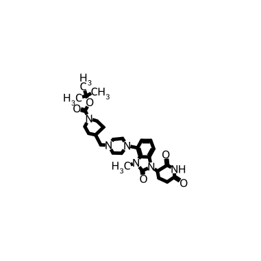 Cn1c(=O)n(C2CCC(=O)NC2=O)c2cccc(N3CCN(CC4CCN(C(=O)OC(C)(C)C)CC4)CC3)c21